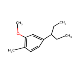 CCC(CC)c1ccc(C)c(OC)c1